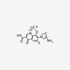 COc1c(N2C[C@H](C)[C@@](C)(N)C2)c(F)cc2c(=O)c(C(=O)O)cn([C@@H]3C[C@@H]3F)c12